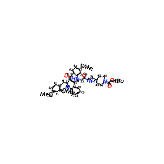 COc1ccc(C(=O)c2c(Cc3ccc(OC)cc3OC)nc3ccccc3c2NCC(=O)NCC2CCN(C(=O)OC(C)(C)C)CC2)cc1